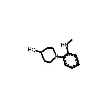 CNc1ccccc1N1CCC(O)CC1